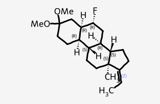 C/C=C1/CC[C@H]2[C@@H]3C[C@@H](F)[C@@H]4CC(OC)(OC)CC[C@@H]4[C@H]3CC[C@]12C